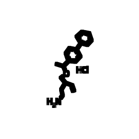 C=CC(CCN)COC(C)c1ccc(-c2ccccc2)cc1.Cl